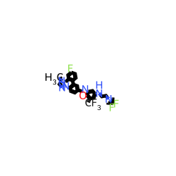 Cn1cnnc1-c1cc(F)ccc1-c1cccc(-c2nc3cc(NCCN4CC(F)(F)C4)cc(C(F)(F)F)c3o2)c1